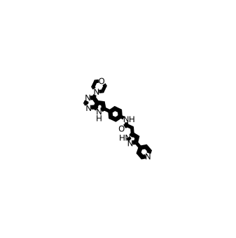 O=C(Cc1cc(-c2ccncc2)n[nH]1)Nc1ccc(-c2cc3c(N4CCOCC4)ncnc3[nH]2)cc1